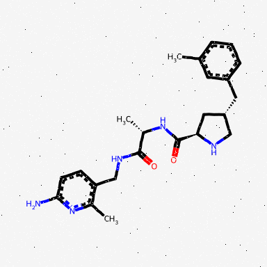 Cc1cccc(C[C@@H]2CN[C@@H](C(=O)N[C@@H](C)C(=O)NCc3ccc(N)nc3C)C2)c1